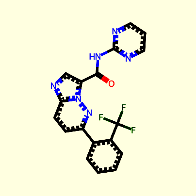 O=C(Nc1ncccn1)c1cnc2ccc(-c3ccccc3C(F)(F)F)nn12